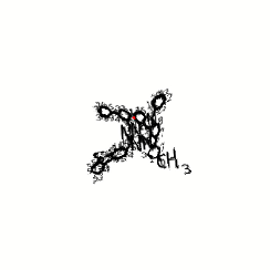 CC1C=Cc2c(c3ccc4c(c5ccccc5n4-c4ccccc4)c3n2-c2nc(-c3cccc(-c4ccccc4)c3)nc(-c3ccc4c(c3)sc3ccccc34)n2)C1